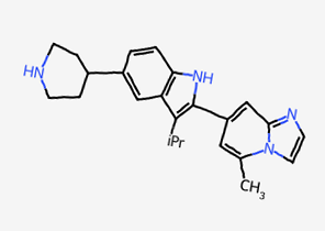 Cc1cc(-c2[nH]c3ccc(C4CCNCC4)cc3c2C(C)C)cc2nccn12